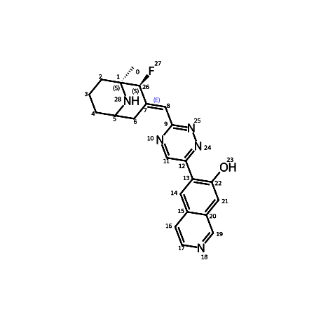 C[C@]12CCCC(C/C(=C\c3ncc(-c4cc5ccncc5cc4O)nn3)[C@@H]1F)N2